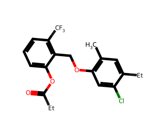 CCC(=O)Oc1cccc(C(F)(F)F)c1COc1cc(Cl)c(CC)cc1C